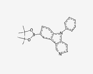 CC1(C)OB(c2ccc3c(c2)c2cnccc2n3-c2ccccc2)OC1(C)C